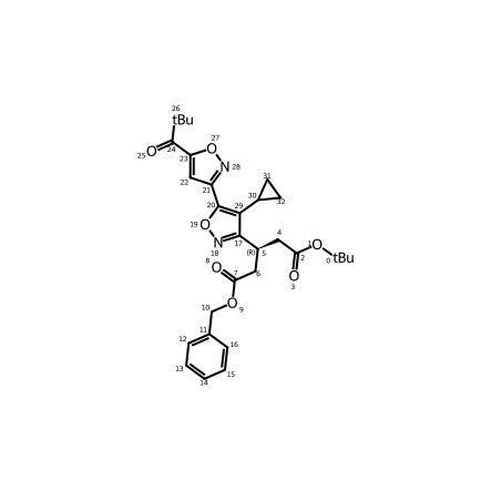 CC(C)(C)OC(=O)C[C@@H](CC(=O)OCc1ccccc1)c1noc(-c2cc(C(=O)C(C)(C)C)on2)c1C1CC1